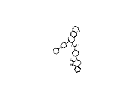 O=C(OC(Cc1ccc2c(c1)OCCO2)C(=O)N1CCN(C2CCCCC2)CC1)N1CCC(N2CCc3ccccc3NC2=O)CC1